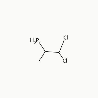 CC(P)C(Cl)Cl